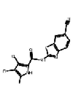 Cc1[nH]c(C(=O)Nc2nc3ccc(C#N)cc3s2)c(Cl)c1Cl